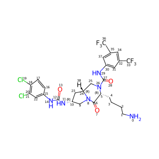 NCCCC[C@@H]1C(=O)N2C[C@H](NC(=O)Nc3ccc(Cl)c(Cl)c3)C[C@@H]2CN1C(=O)Nc1cc(C(F)(F)F)cc(C(F)(F)F)c1